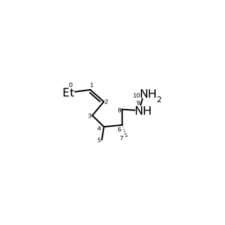 CC/C=C\CC(C)[C@@H](C)CNN